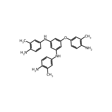 Cc1cc(Nc2cc(Nc3ccc(N)c(C)c3)cc(Oc3ccc(N)c(C)c3)c2)ccc1N